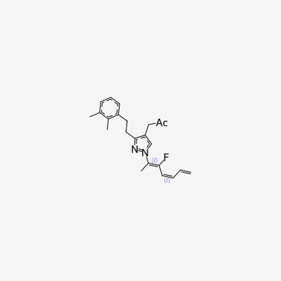 C=C/C=C\C(F)=C(/C)n1cc(CC(C)=O)c(CCc2cccc(C)c2C)n1